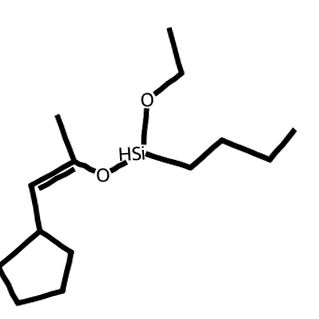 CCCC[SiH](OCC)OC(C)=CC1CCCC1